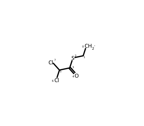 [CH2]CSC(=O)C(Cl)Cl